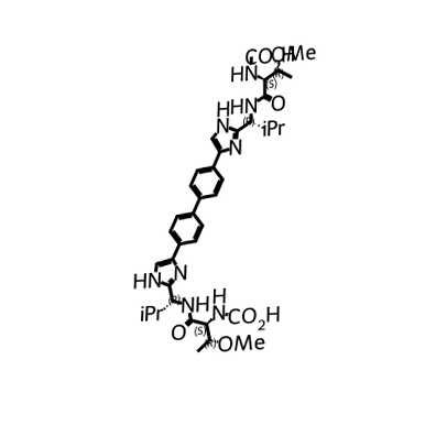 CO[C@H](C)[C@H](NC(=O)O)C(=O)N[C@@H](c1nc(-c2ccc(-c3ccc(-c4c[nH]c([C@H](NC(=O)[C@@H](NC(=O)O)[C@@H](C)OC)C(C)C)n4)cc3)cc2)c[nH]1)C(C)C